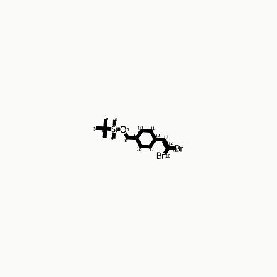 CC(C)(C)[Si](C)(C)OCC1CCC(C=C(Br)Br)CC1